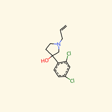 C=CCN1CCC(O)(c2ccc(Cl)cc2Cl)C1